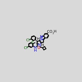 O=C(O)c1ccc2c3n(nc2c1)[C@@H]1[C@H](C3)N(CC2CCC2)[C@]2(Cc3ccc(Cl)cc3NC2=O)[C@H]1c1cccc(Cl)c1F